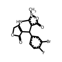 Cn1oc(=O)c2c1NC1=C(C(=O)OC1)C2c1ccc(F)c(Br)c1